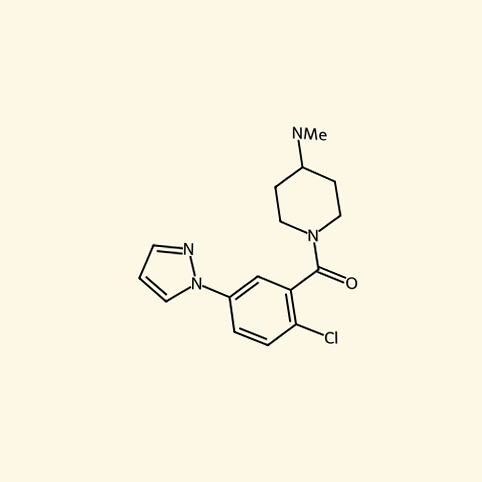 CNC1CCN(C(=O)c2cc(-n3cccn3)ccc2Cl)CC1